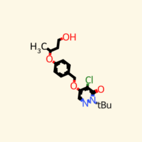 CC(CCO)Oc1ccc(COc2cnn(C(C)(C)C)c(=O)c2Cl)cc1